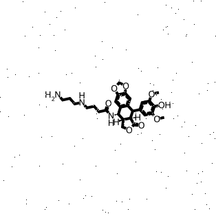 COc1cc(C2c3cc4c(cc3[C@@H](NC(=O)CCCNCCCN)[C@H]3COC(=O)[C@H]23)OCO4)cc(OC)c1O